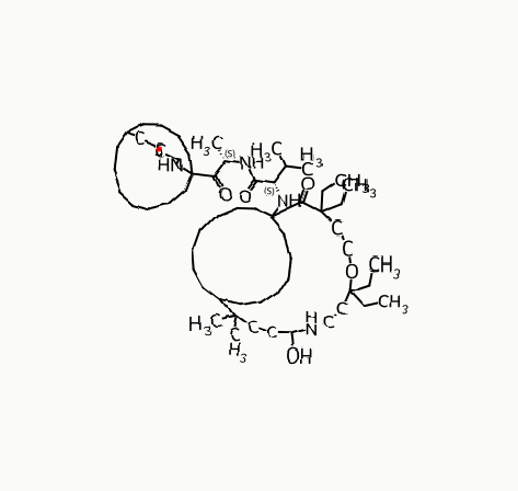 CCC1(CC)CCNC(O)CCC(C)(C)C2CCCCCCCC(N[C@H](C(=O)N[C@@H](C)C(=O)C34CCCCCCCC(CCCC3)CSCCN4)C(C)C)(CCCCCC2)C(=O)C(CC)(CC)CCO1